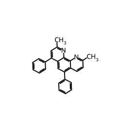 Cc1ccc2c(-c3ccccc3)cc3c(-c4ccccc4)cc(C)nc3c2n1